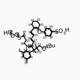 Cc1cc(C)c2c(c1)C(C)(C(C)(C)COC(C)(C)C)C(/C=C/C=C/C1=C(Oc3ccc(S(=O)(=O)O)cc3)CCCC1)=[N+]2CCC(C)SOOO